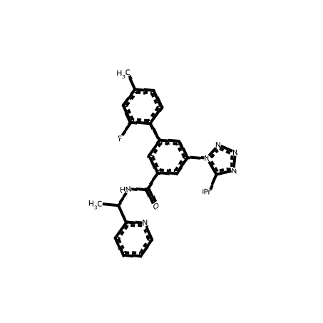 Cc1ccc(-c2cc(C(=O)NC(C)c3ccccn3)cc(-n3nnnc3C(C)C)c2)c(F)c1